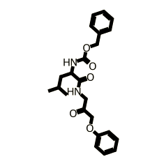 CC(C)CC(NC(=O)OCc1ccccc1)C(=O)NCC(=O)COc1ccccc1